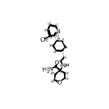 NC(=O)C1(NCC[C@H]2CC[C@@H](c3ncccc3Cl)CC2)CCOCC1